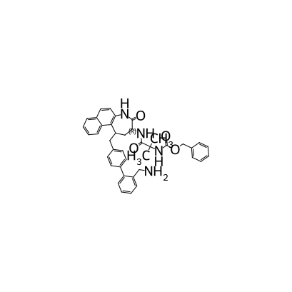 CC(C)(NC(=O)OCc1ccccc1)C(=O)N[C@@H]1CC(Cc2ccc(-c3ccccc3CN)cc2)c2c(ccc3ccccc23)NC1=O